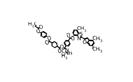 C=CC(=O)Oc1ccc(OC(=O)C2CCC(C(=O)OC(C)(N=N)c3ccc(C(=O)Oc4ccc(C)c5sc(-c6cc7c(C)cc(C)cc7o6)nc45)cc3)CC2)cc1